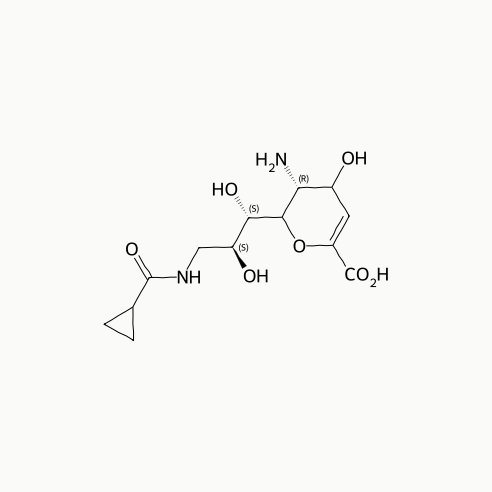 N[C@@H]1C(O)C=C(C(=O)O)OC1[C@@H](O)[C@@H](O)CNC(=O)C1CC1